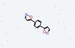 c1cc(-c2ccc(-c3ccno3)cc2)on1